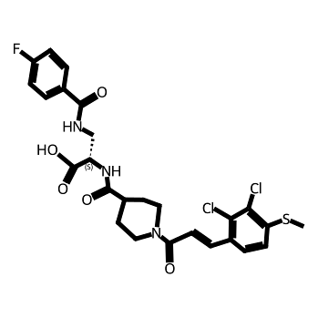 CSc1ccc(C=CC(=O)N2CCC(C(=O)N[C@@H](CNC(=O)c3ccc(F)cc3)C(=O)O)CC2)c(Cl)c1Cl